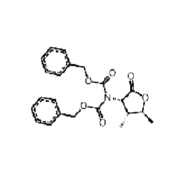 C[C@H]1[C@H](C)OC(=O)[C@H]1N(C(=O)OCc1ccccc1)C(=O)OCc1ccccc1